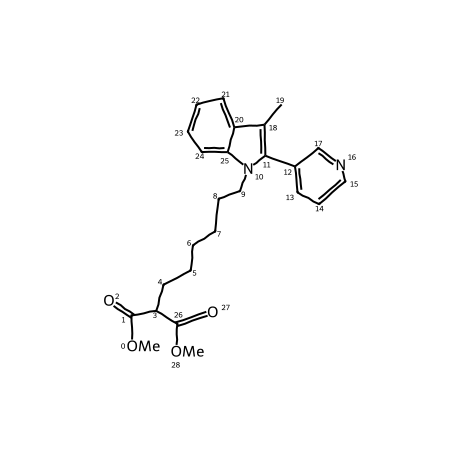 COC(=O)C(CCCCCCn1c(-c2cccnc2)c(C)c2ccccc21)C(=O)OC